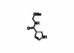 COCNC(=O)C1C=CNC1